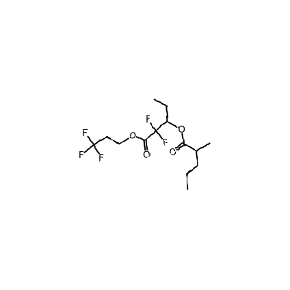 CCCC(C)C(=O)OC(CC)C(F)(F)C(=O)OCCC(F)(F)F